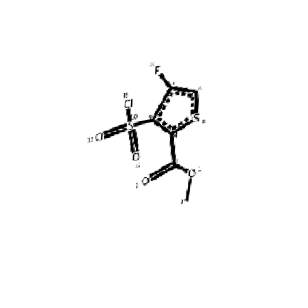 COC(=O)c1scc(F)c1S(=O)(=O)Cl